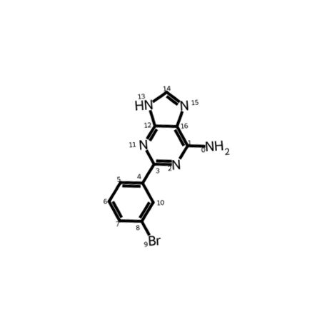 Nc1nc(-c2cccc(Br)c2)nc2[nH]cnc12